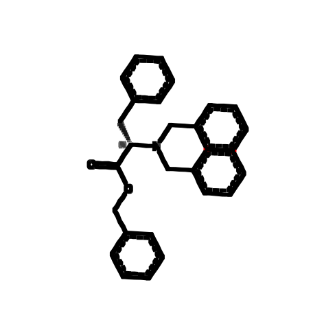 O=C(OCc1ccccc1)[C@H](Cc1ccccc1)N(Cc1ccccc1)Cc1ccccc1